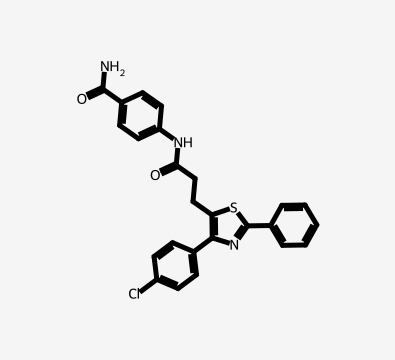 NC(=O)c1ccc(NC(=O)CCc2sc(-c3ccccc3)nc2-c2ccc(Cl)cc2)cc1